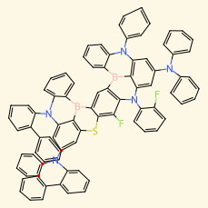 Fc1ccccc1N1c2cc(N(c3ccccc3)c3ccccc3)cc3c2B(c2ccccc2N3c2ccccc2)c2cc3c(c(F)c21)Sc1cc(N(c2ccccc2)c2ccccc2-c2ccccc2)cc2c1B3c1ccccc1N2c1ccccc1-c1ccccc1